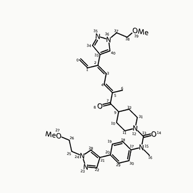 C=C/C(=C\C=C(/C)C(=O)C1CCN(C(=O)N(C)c2ccc(-c3cnn(CCOC)c3)cc2)CC1)c1cnn(CCOC)c1